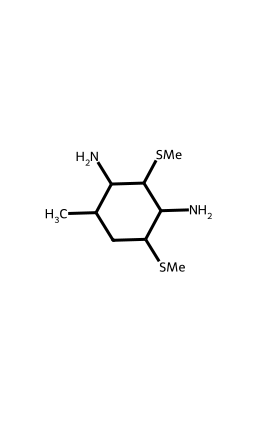 CSC1CC(C)C(N)C(SC)C1N